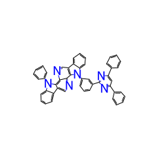 c1ccc(-c2cc(-c3ccccc3)nc(-c3cccc(-n4c5ccccc5c5cnc6c(ncc7c8ccccc8n(-c8ccccc8)c76)c54)c3)n2)cc1